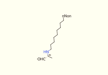 CCCCCCCCCCCCCCCCCCN[C@H](C)[C]=O